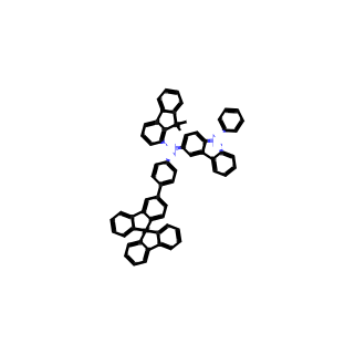 CC1(C)c2ccccc2-c2cccc(N(c3ccc(-c4ccc5c(c4)-c4ccccc4C54c5ccccc5-c5ccccc54)cc3)c3ccc4c(c3)c3ccccc3n4-c3ccccc3)c21